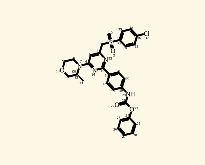 C=S(=O)(Cc1cc(N2CCOC[C@@H]2C)nc(-c2ccc(NC(=O)Oc3ccccc3)cc2)n1)c1ccc(Cl)cc1